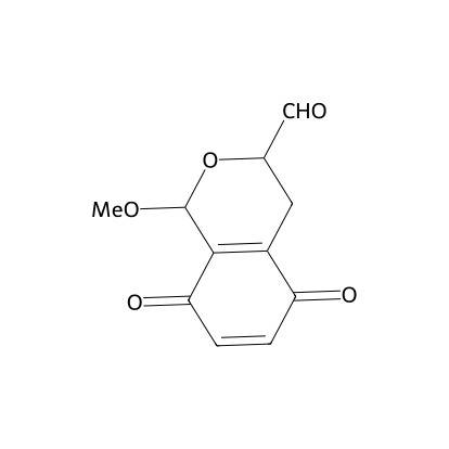 COC1OC(C=O)CC2=C1C(=O)C=CC2=O